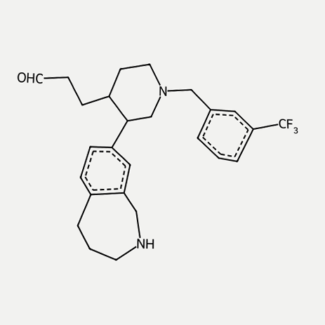 O=CCCC1CCN(Cc2cccc(C(F)(F)F)c2)CC1c1ccc2c(c1)CNCCC2